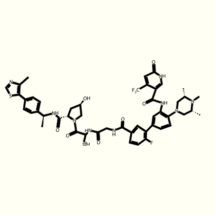 Cc1ncsc1-c1ccc([C@H](C)NC(=O)[C@@H]2C[C@@H](O)CN2C(=O)C(NC(=O)CNC(=O)c2ccc(F)c(-c3ccc(N4C[C@@H](C)N(C)[C@@H](C)C4)c(NC(=O)c4c[nH]c(=O)cc4C(F)(F)F)c3)c2)C(C)(C)C)cc1